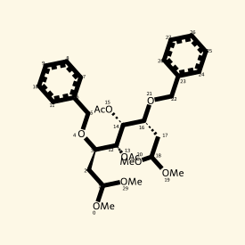 COC(C[C@@H](OCc1ccccc1)[C@@H](OC(C)=O)[C@H](OC(C)=O)[C@@H](CC(OC)OC)OCc1ccccc1)OC